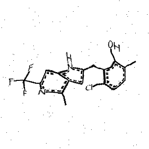 Cc1ccc(Cl)c(Cc2cc3c(C)nc(C(F)(F)F)cc3[nH]2)c1O